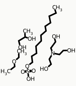 CC(O)CO.CCCCCCCCCCCCOS(=O)(=O)O.CCOCC.OCCN(CCO)CCO